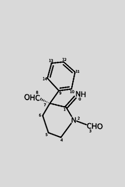 N=C1N(C=O)CCC[C@@]1(C=O)c1ccccc1